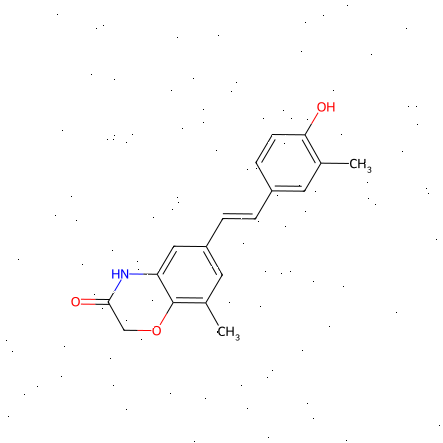 Cc1cc(/C=C/c2cc(C)c3c(c2)NC(=O)CO3)ccc1O